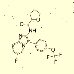 O=C(Nc1nc2ccc(F)cn2c1-c1ccc(OC(F)(F)F)cc1)C1CCCO1